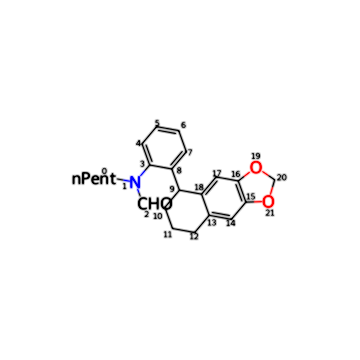 CCCCCN(C=O)c1ccccc1C1CCCc2cc3c(cc21)OCO3